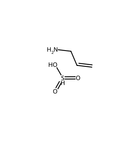 C=CCN.O=[SH](=O)O